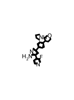 Nc1ncc(-c2ccc(C3CCOCC3)c([C@@H]3CCCN3)c2)cc1-c1ccncc1F